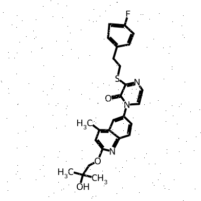 Cc1cc(OCC(C)(C)O)nc2ccc(-n3ccnc(SCCc4ccc(F)cc4)c3=O)cc12